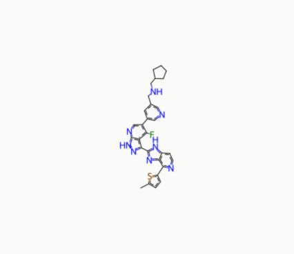 Cc1ccc(-c2nccc3[nH]c(-c4n[nH]c5ncc(-c6cncc(CNCC7CCCC7)c6)c(F)c45)nc23)s1